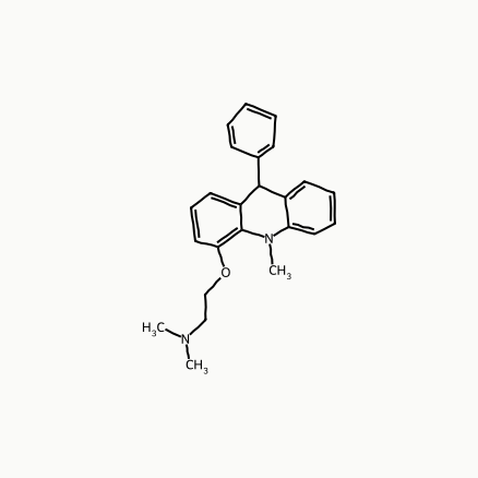 CN(C)CCOc1cccc2c1N(C)c1ccccc1C2c1ccccc1